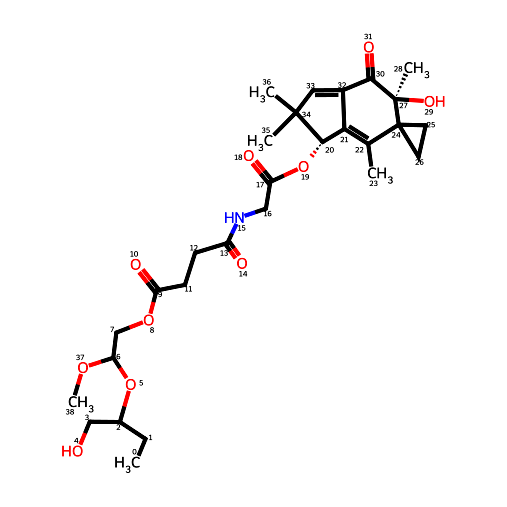 CCC(CO)OC(COC(=O)CCC(=O)NCC(=O)O[C@H]1C2=C(C)C3(CC3)[C@](C)(O)C(=O)C2=CC1(C)C)OC